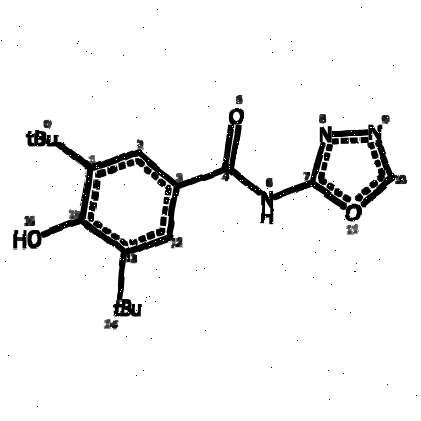 CC(C)(C)c1cc(C(=O)Nc2nnco2)cc(C(C)(C)C)c1O